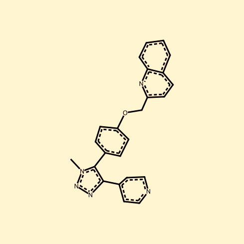 Cn1nnc(-c2ccncc2)c1-c1ccc(OCc2ccc3ccccc3n2)cc1